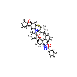 c1ccc(-c2nnc(-c3ccccc3-c3cccc4c3oc3c(N5c6ccccc6Sc6cc7oc8ccccc8c7cc65)cccc34)o2)cc1